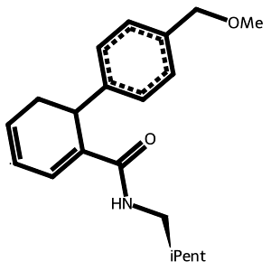 CCC[C@H](C)CNC(=O)C1=C[C]=CCC1c1ccc(COC)cc1